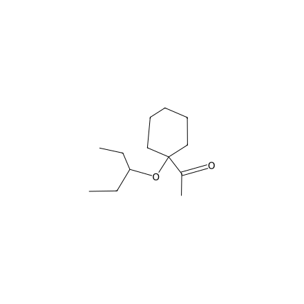 CCC(CC)OC1(C(C)=O)CCCCC1